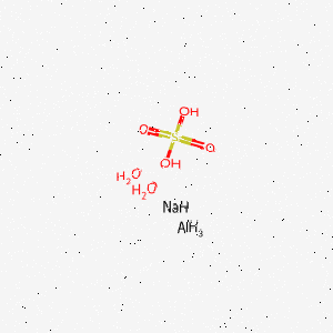 O.O.O=S(=O)(O)O.[AlH3].[NaH]